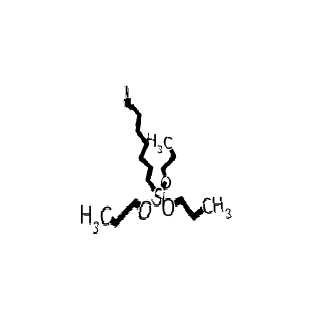 CCCO[Si](CCCCCCCI)(OCCC)OCCC